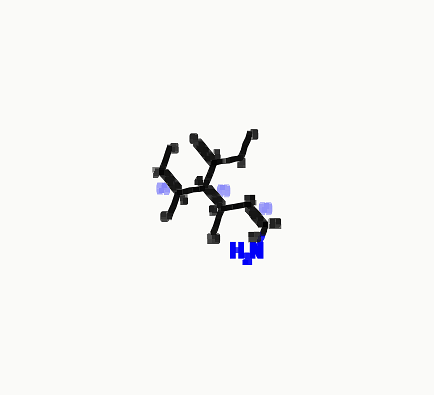 C=C(CC)C(/C(C)=C\C)=C(C)\C=C/N